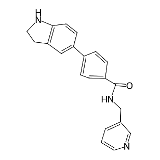 O=C(NCc1cccnc1)c1ccc(-c2ccc3c(c2)CCN3)cc1